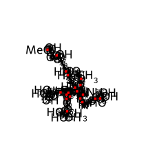 COP(=O)(O)OC[C@H]1OCC[C@H]1OP(=O)(O)OCCCCCCNC(=O)CCSSCCNC(=O)[C@H](CCCCN(Cc1cn(CCOCCO[C@@H](C)O[C@@H](C)CO)nn1)Cc1cn(CCOCCO[C@@H]2O[C@H](CO)[C@H](O)[C@H](O)[C@H]2NC(C)=O)nn1)N(Cc1cn(CCOCCO[C@@H]2O[C@H](CO)[C@H](O)[C@H](O)[C@H]2C)nn1)Cc1cn(CCOCCO[C@@H]2O[C@H](CO)[C@H](O)[C@H](O)[C@H]2NC(C)=O)nn1